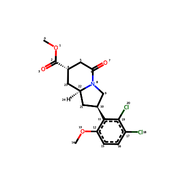 COC(=O)[C@@H]1CC(=O)N2C[C@@H](c3c(OC)ccc(Cl)c3Cl)C[C@H]2C1